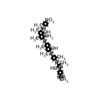 Cc1cc([N+](=O)[O-])ccc1/N=N/c1c(C)cc2c(C)cc(/N=N/c3ccc4c(O)c(/N=N/c5ccc(/N=N/c6c(C)nn(-c7ccc(S(C)(=O)=O)cc7)c6O)c(C)c5)c(C)cc4c3C)c(N)c2c1O